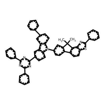 CC1(C)c2cc(-n3c4ccc(-c5ccccc5)cc4c4cc(-c5nc(-c6ccccc6)nc(-c6ccccc6)n5)ccc43)ccc2-c2ccc3sc(-c4ccccc4)nc3c21